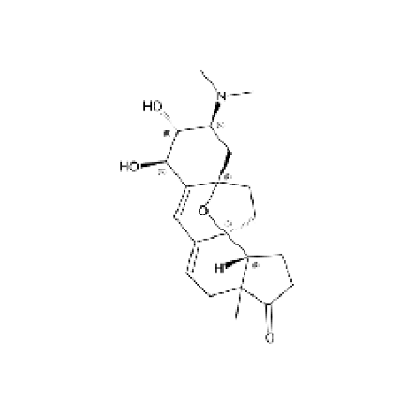 CN(C)[C@H]1C[C@@]23CC[C@@]4(O2)C(=CCC2(C)C(=O)CC[C@H]24)C=C3[C@@H](O)[C@@H]1O